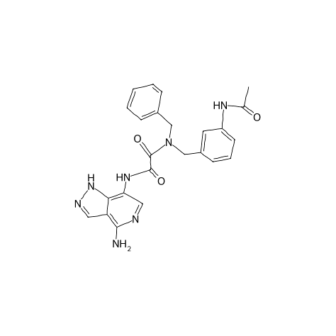 CC(=O)Nc1cccc(CN(Cc2ccccc2)C(=O)C(=O)Nc2cnc(N)c3cn[nH]c23)c1